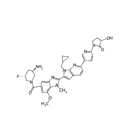 COc1cc(C(=O)N2C[C@H](N)C[C@@H](F)C2)cc2nc(-c3cc4ccc(-c5ccc(N6CCC(O)C6=O)nc5)nc4n3CC3CC3)n(C)c12